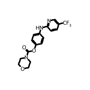 O=C(Oc1ccc(Nc2ccc(C(F)(F)F)cn2)cc1)N1CCOCC1